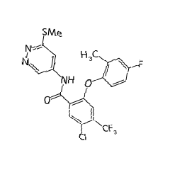 CSc1cc(NC(=O)c2cc(Cl)c(C(F)(F)F)cc2Oc2ccc(F)cc2C)cnn1